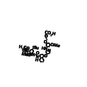 COc1cc(Nc2cc(Oc3ccc(NC(=O)Nc4cc(C(C)(C)C)cc(NS(C)(=O)=O)c4OC)c4ccccc34)ccn2)cc(OCCOCC(=O)O)c1